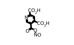 O=NOC(=O)c1cnc(C(=O)O)cc1C(=O)O